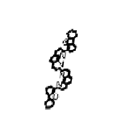 c1ccc2c(c1)oc1c(-c3ccc4ccc5ccc(-c6ccc7ccc8ccc(-c9cccc%10c9oc9ccccc9%10)nc8c7n6)nc5c4n3)cccc12